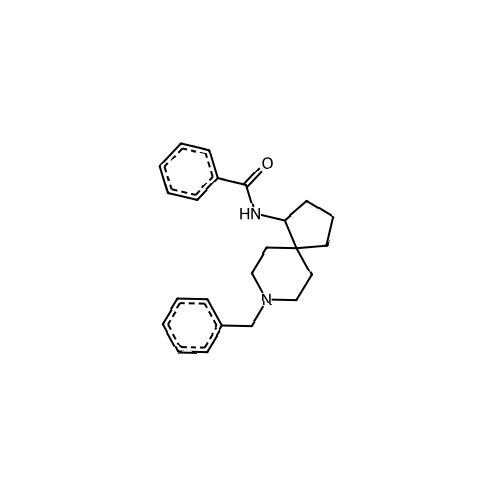 O=C(NC1CCCC12CCN(Cc1ccccc1)CC2)c1ccccc1